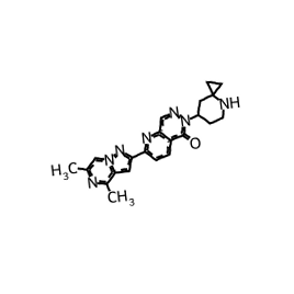 Cc1cn2nc(-c3ccc4c(=O)n(C5CCNC6(CC6)C5)ncc4n3)cc2c(C)n1